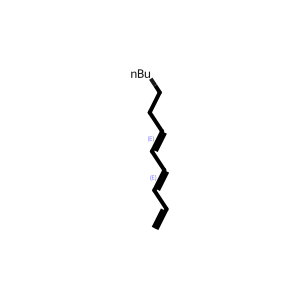 C=C/C=C/C=C/CCCCCC